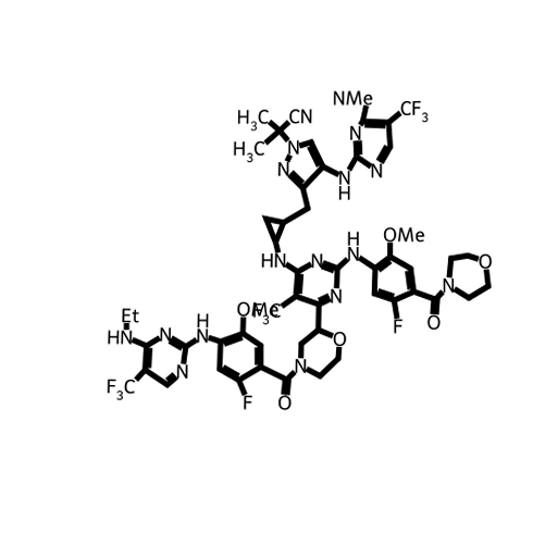 CCNc1nc(Nc2cc(F)c(C(=O)N3CCOC(c4nc(Nc5cc(F)c(C(=O)N6CCOCC6)cc5OC)nc(NC5CC5Cc5nn(C(C)(C)C#N)cc5Nc5ncc(C(F)(F)F)c(NC)n5)c4C(F)(F)F)C3)cc2OC)ncc1C(F)(F)F